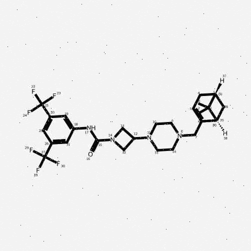 CC1(C)[C@@H]2CC=C(CN3CCN(C4CN(C(=O)Nc5cc(C(F)(F)F)cc(C(F)(F)F)c5)C4)CC3)[C@@H]1C2